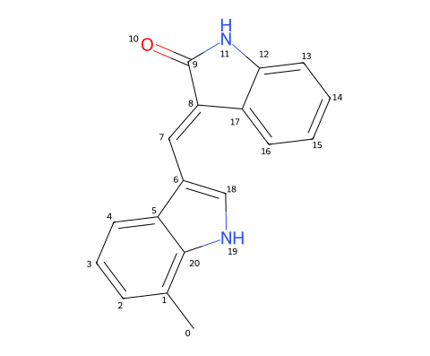 Cc1cccc2c(/C=C3/C(=O)Nc4ccccc43)c[nH]c12